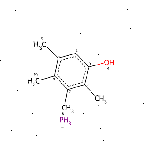 Cc1cc(O)c(C)c(C)c1C.P